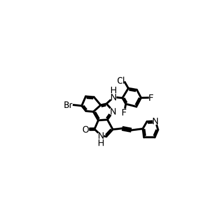 O=c1[nH]cc(C#Cc2cccnc2)c2nc(Nc3c(F)cc(F)cc3Cl)c3ccc(Br)cc3c12